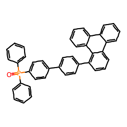 O=P(c1ccccc1)(c1ccccc1)c1ccc(-c2ccc(-c3cccc4c5ccccc5c5ccccc5c34)cc2)cc1